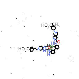 Cn1c(C(=O)Nc2cccc(-c3cccc(NC(=O)c4cc5c(cn4)CN(C4CCC(C)(C(=O)O)CC4)CC5)c3Cl)c2Cl)nc2c1CCN(CCC13CCC(C(=O)O)(CC1)C3)C2